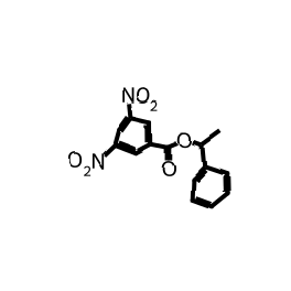 CC(OC(=O)c1cc([N+](=O)[O-])cc([N+](=O)[O-])c1)c1ccccc1